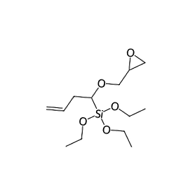 C=CCC(OCC1CO1)[Si](OCC)(OCC)OCC